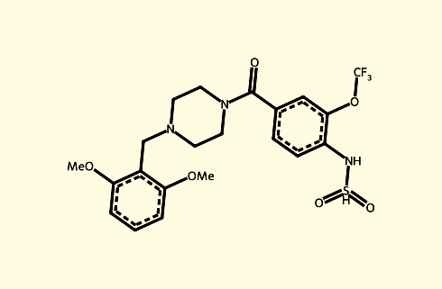 COc1cccc(OC)c1CN1CCN(C(=O)c2ccc(N[SH](=O)=O)c(OC(F)(F)F)c2)CC1